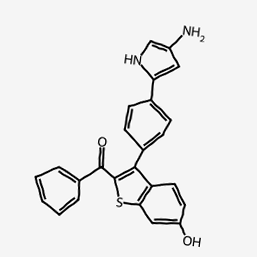 Nc1c[nH]c(-c2ccc(-c3c(C(=O)c4ccccc4)sc4cc(O)ccc34)cc2)c1